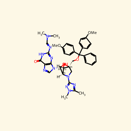 COc1ccc(C(OC[C@@]23CN(c4nc(C)n(C)n4)[C@@H]([C@H](n4cnc5c(=O)[nH]c(N=CN(C)C)nc54)O2)[C@@H]3O)(c2ccccc2)c2ccc(OC)cc2)cc1